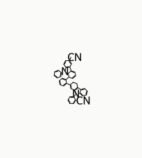 N#Cc1ccc2c(c1)C1=CC=CC(c3ccccc3C3=Cc4c(c5ccccc5n4-c4ccccc4C#N)CC3)C1N2c1ccccc1